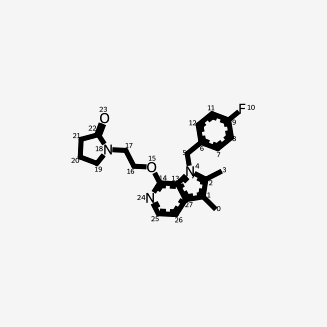 Cc1c(C)n(Cc2ccc(F)cc2)c2c(OCCN3CCCC3=O)nccc12